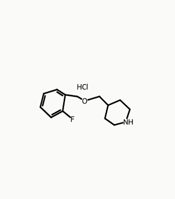 Cl.Fc1ccccc1COCC1CCNCC1